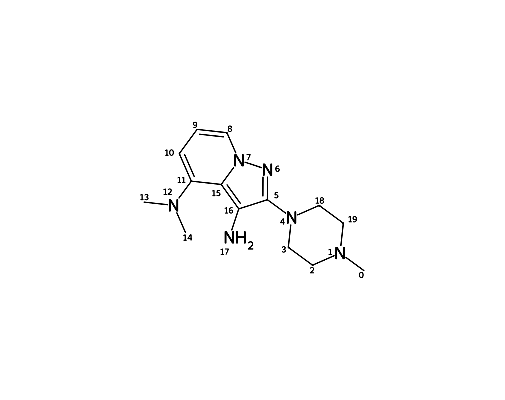 CN1CCN(c2nn3cccc(N(C)C)c3c2N)CC1